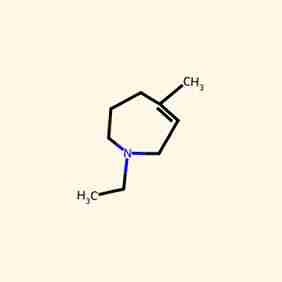 CCN1CC=C(C)CCC1